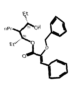 CCCC([C@@H](O)CC)[C@@H](CC)OC(=O)C(=Cc1ccccc1)OCc1ccccc1